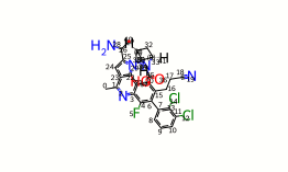 Cc1nc2c(F)c(-c3cccc(Cl)c3Cl)c(CCC#N)cc2c2c1cc(C(C)N)n2[C@H]1[C@@H]2C[C@H]1N(C(=O)O)C2